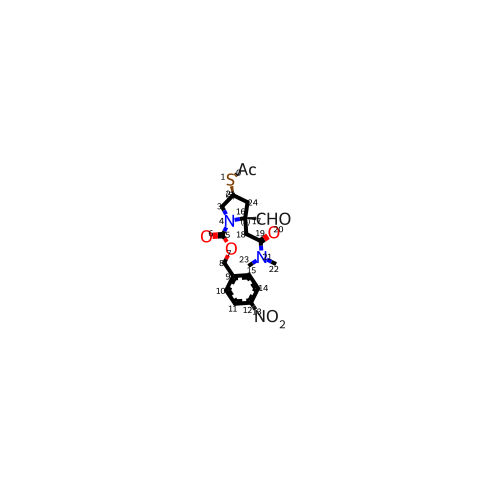 CC(=O)S[C@@H]1CN(C(=O)OCc2ccc([N+](=O)[O-])cc2)[C@@](C=O)(CC(=O)N(C)C)C1